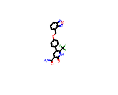 NC(=O)c1cc(-c2ccc(OCc3cccc4nonc34)cc2)c(C(F)(F)F)[nH]c1=O